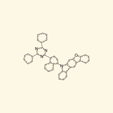 c1ccc(-c2nc(-c3ccccc3)nc(-c3ccc(-n4c5ccccc5c5cc6c(cc54)oc4ccccc46)c4ccccc34)n2)cc1